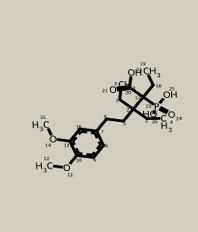 CCC(CC)(CCc1ccc(OC)c(OC)c1)C(CC)(C(=O)O)P(=O)(O)O